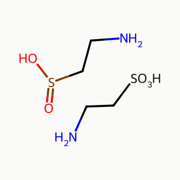 NCCS(=O)(=O)O.NCCS(=O)O